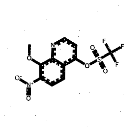 COc1c([N+](=O)[O-])ccc2c(OS(=O)(=O)C(F)(F)F)ccnc12